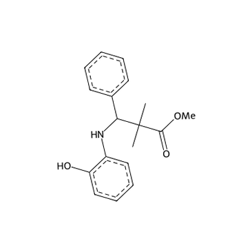 COC(=O)C(C)(C)C(Nc1ccccc1O)c1ccccc1